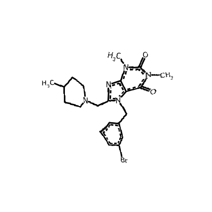 CC1CCN(Cc2nc3c(c(=O)n(C)c(=O)n3C)n2Cc2cccc(Br)c2)CC1